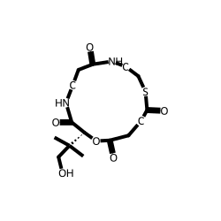 CC(C)(CO)[C@H]1OC(=O)CCC(=O)SCCNC(=O)CCNC1=O